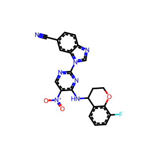 N#Cc1ccc2ncn(-c3ncc([N+](=O)[O-])c(NC4CCOc5c(F)cccc54)n3)c2c1